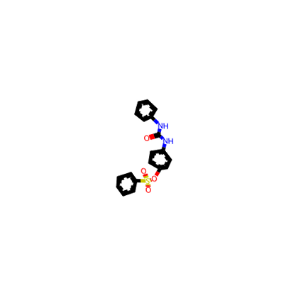 O=C(Nc1ccccc1)Nc1ccc(OS(=O)(=O)c2ccccc2)cc1